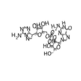 Nc1nc2c(ncn2[C@@H]2O[C@H](CO)[C@@H](O)[C@H]2OP(=O)(O)OC[C@H]2O[C@@H](c3cnn4c(N)ncnc34)[C@H](O)[C@@H]2O)c(=O)[nH]1